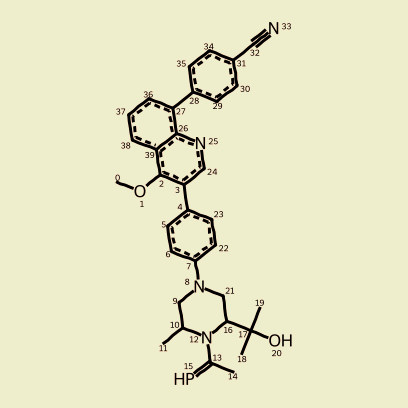 COc1c(-c2ccc(N3CC(C)N(C(C)=P)C(C(C)(C)O)C3)cc2)cnc2c(-c3ccc(C#N)cc3)cccc12